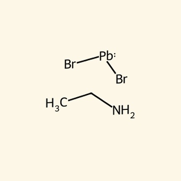 CCN.[Br][Pb][Br]